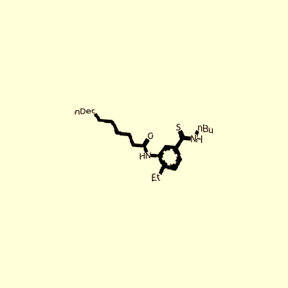 CCCCCCCCCCCCCCCC(=O)Nc1cc(C(=S)NCCCC)ccc1CC